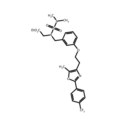 CCOC(=O)CN(Cc1cccc(OCCc2nc(-c3ccc(C(F)(F)F)cc3)oc2C)c1)S(=O)(=O)N(C)C